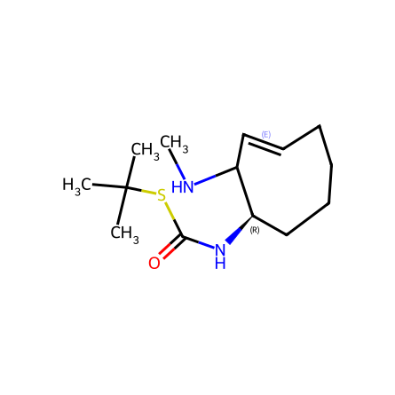 CNC1/C=C/CCCC[C@H]1NC(=O)SC(C)(C)C